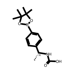 C[C@@H](NC(=O)O)c1ccc(B2OC(C)(C)C(C)(C)O2)cc1